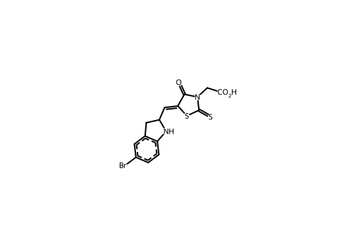 O=C(O)CN1C(=O)C(=CC2Cc3cc(Br)ccc3N2)SC1=S